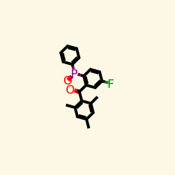 Cc1cc(C)c(C(=O)c2cc(F)ccc2[P](=O)c2ccccc2)c(C)c1